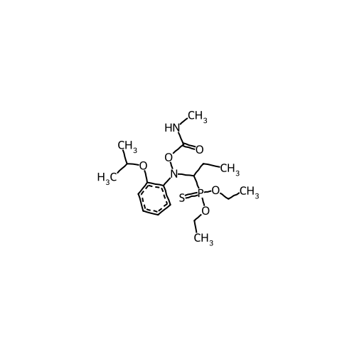 CCOP(=S)(OCC)C(CC)N(OC(=O)NC)c1ccccc1OC(C)C